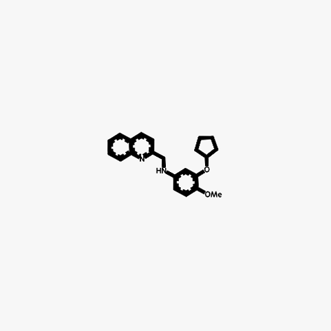 COc1ccc(NCc2ccc3ccccc3n2)cc1OC1CCCC1